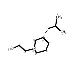 CC(C)C[C@@H]1CCCN(CCO)C1